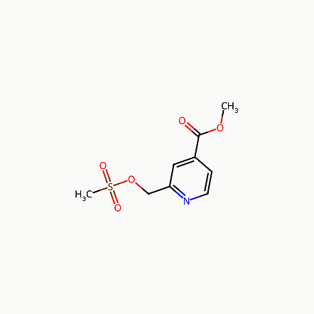 COC(=O)c1ccnc(COS(C)(=O)=O)c1